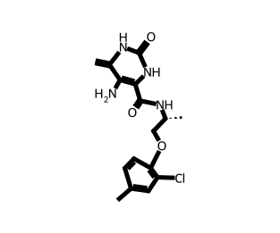 C=C1NC(=O)NC(C(=O)N[C@H](C)COc2ccc(C)cc2Cl)=C1N